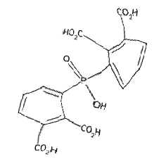 O=C(O)c1cccc(P(=O)(O)c2cccc(C(=O)O)c2C(=O)O)c1C(=O)O